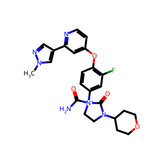 Cn1cc(-c2cc(Oc3ccc([N+]4(C(N)=O)CCN(C5CCOCC5)C4=O)cc3F)ccn2)cn1